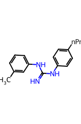 CCCc1ccc(NC(=N)Nc2cccc(C)c2)cc1